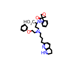 O=C(O)C(CCN(CCCCc1ccc2c(n1)NCCC2)CCOc1ccccc1)NC(=O)C1(c2ccccc2)COC1